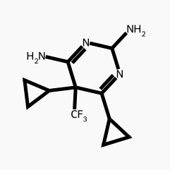 NC1=NC(N)N=C(C2CC2)C1(C1CC1)C(F)(F)F